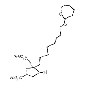 O=C(O)C[C@@]1(C=CCCCCCCOC2CCCCO2)C[C@H](C(=O)O)C[C@@H]1O